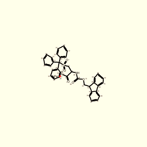 CCCCCNC(=O)C(CS(=O)(=O)C(c1ccccc1)(c1ccccc1)c1ccccc1)NC(=O)OCC1c2ccccc2-c2ccccc21